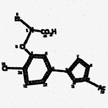 CCN(Oc1cc(-c2ccc(C(C)=O)s2)ccc1Cl)C(=O)O